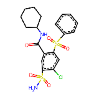 NS(=O)(=O)c1cc(C(=O)NC2CCCCC2)c(S(=O)(=O)c2ccccc2)cc1Cl